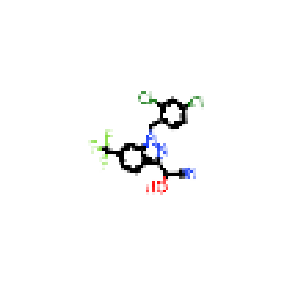 N#CC(O)c1nn(Cc2ccc(Cl)cc2Cl)c2cc(C(F)(F)F)ccc12